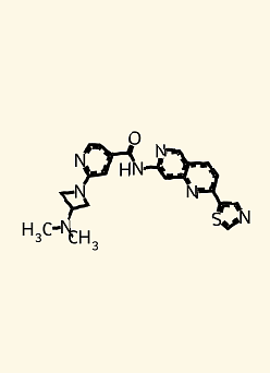 CN(C)C1CN(c2cc(C(=O)Nc3cc4nc(-c5cncs5)ccc4cn3)ccn2)C1